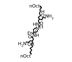 CCCCCCCCC=CCCCCCC(CC(=O)NC(CC)N1CCN(C(CC)NC(=O)CC(CCCCC/C=C\CCCCCCCC)CC(O)CN)CC1)CC(O)CN